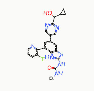 CCNC(=O)Nc1nc2cc(-c3cnc(C(O)C4CC4)nc3)cc(-c3ncccc3F)c2[nH]1